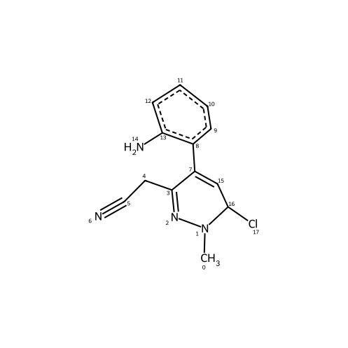 CN1N=C(CC#N)C(c2ccccc2N)=CC1Cl